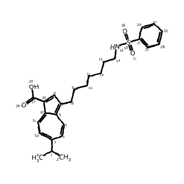 CC(C)c1ccc2c(CCCCCCCNS(=O)(=O)c3ccccc3)cc(C(=O)O)c-2cc1